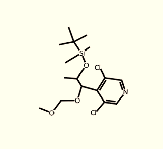 COCOC(c1c(Cl)cncc1Cl)C(C)O[Si](C)(C)C(C)(C)C